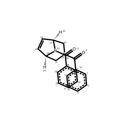 O=C(c1ccccc1)N1C[C@H]2C=C[C@@H](C1)N2C(=O)c1ccccc1